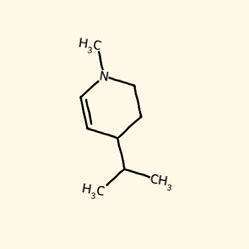 CC(C)C1C=CN(C)CC1